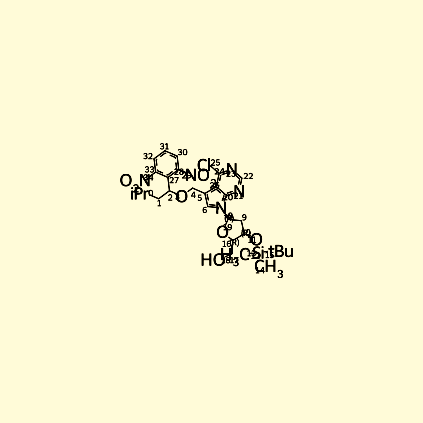 CC(C)CC(OCc1cn([C@H]2C[C@@H](O[Si](C)(C)C(C)(C)C)[C@@H](CO)O2)c2ncnc(Cl)c12)c1c([N+](=O)[O-])cccc1[N+](=O)[O-]